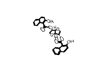 O=C(O[C@H]1CO[C@H]2[C@@H]1OC[C@H]2OC(=O)c1c(O)ccc2ccccc12)c1c(O)ccc2ccccc12